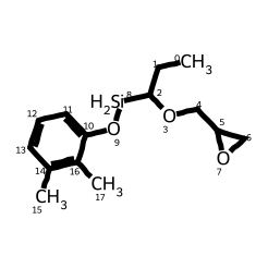 CCC(OCC1CO1)[SiH2]Oc1cccc(C)c1C